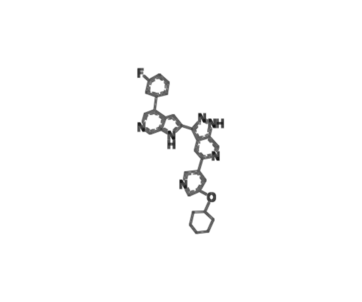 Fc1cccc(-c2cncc3[nH]c(-c4n[nH]c5cnc(-c6cncc(OC7CCCCC7)c6)cc45)cc23)c1